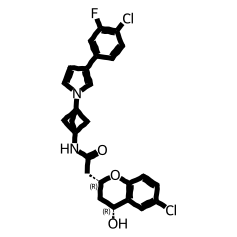 O=C(C[C@H]1C[C@@H](O)c2cc(Cl)ccc2O1)NC12CC(n3ccc(-c4ccc(Cl)c(F)c4)c3)(C1)C2